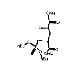 C=P(C[C@H](C[C@@H](F)C(=O)OC)C(=O)OC)(OCCCC)OCCCC